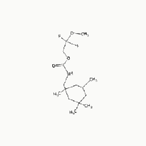 COC(F)(F)COC(=O)NCC1(C)CC(C)CC(C)(C)C1